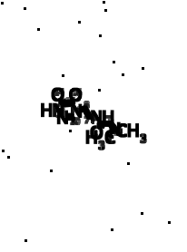 CN(C)CC(=O)NCCn1[c]n[nH]c(=O)c1=O